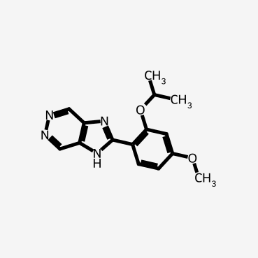 COc1ccc(-c2nc3cnncc3[nH]2)c(OC(C)C)c1